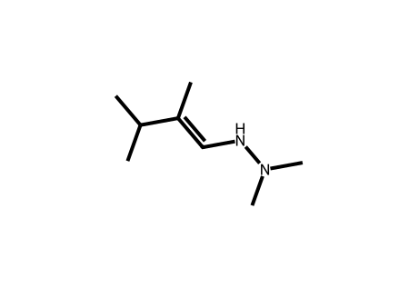 C/C(=C\NN(C)C)C(C)C